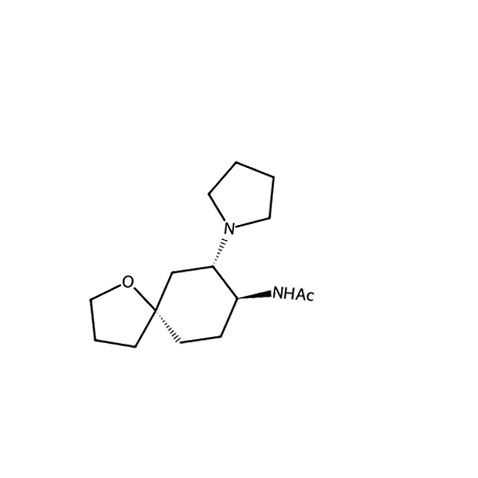 CC(=O)N[C@H]1CC[C@@]2(CCCO2)C[C@@H]1N1CCCC1